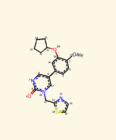 COc1ccc(-c2cnc(=O)n(Cc3nccs3)c2)cc1OC1CCCC1